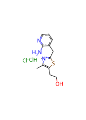 CC1=C(CCO)SC(Cc2cccnc2N)=[N+]1.Cl.[Cl-]